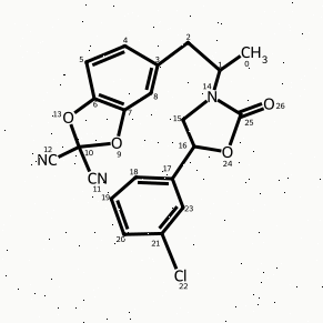 CC(Cc1ccc2c(c1)OC(C#N)(C#N)O2)N1CC(c2cccc(Cl)c2)OC1=O